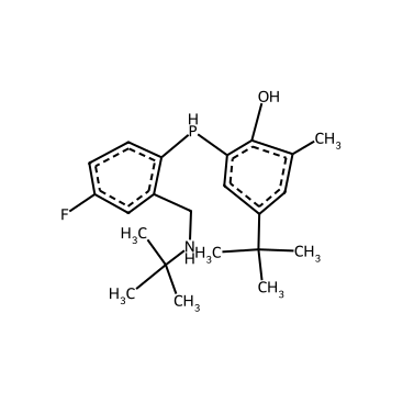 Cc1cc(C(C)(C)C)cc(Pc2ccc(F)cc2CNC(C)(C)C)c1O